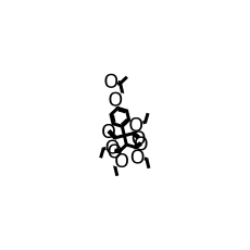 CCOC(=O)C(C(=O)OCC)C(C(=O)OCC)(C(=O)OCC)c1ccc(OCC(C)=O)cc1